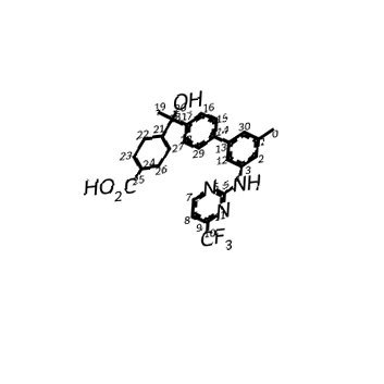 Cc1cc(Nc2nccc(C(F)(F)F)n2)cc(-c2ccc(C(C)(O)C3CCC(C(=O)O)CC3)cc2)c1